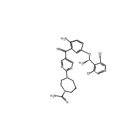 N=C(c1cnc(N2CCCN(C(N)=O)CC2)nc1)c1cc(O[C@H](N)c2c(Cl)cncc2Cl)ccc1N